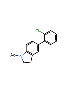 CC(=O)N1CCc2cc(-c3ccccc3Cl)ccc21